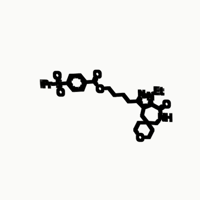 CCn1nc(CCCCOC(=O)c2ccc(S(=O)(=O)C(C)C)cc2)c2c1C(=O)NCC1(CCOCC1)C2